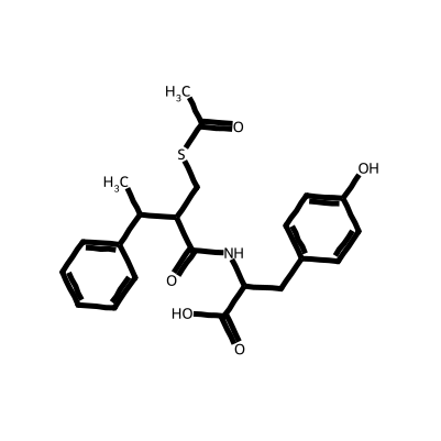 CC(=O)SCC(C(=O)NC(Cc1ccc(O)cc1)C(=O)O)C(C)c1ccccc1